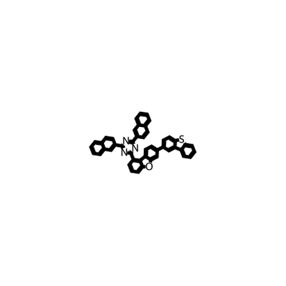 c1ccc2cc(-c3nc(-c4ccc5ccccc5c4)nc(-c4cccc5oc6cc(-c7ccc8sc9ccccc9c8c7)ccc6c45)n3)ccc2c1